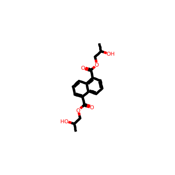 CC(O)COC(=O)c1cccc2c(C(=O)OCC(C)O)cccc12